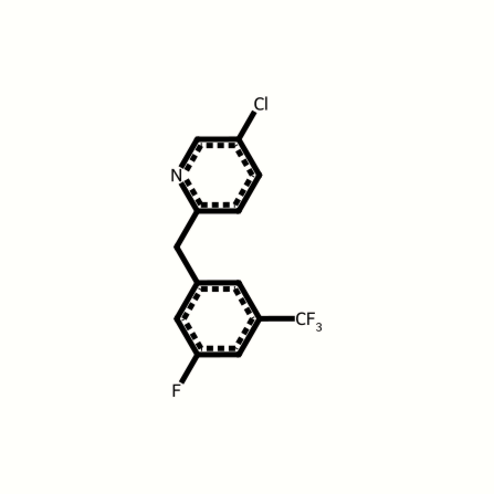 Fc1cc(Cc2ccc(Cl)cn2)cc(C(F)(F)F)c1